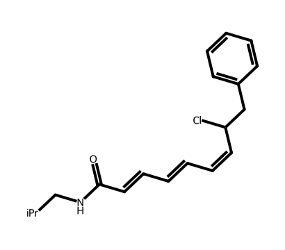 CC(C)CNC(=O)/C=C/C=C/C=C\C(Cl)Cc1ccccc1